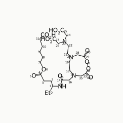 CCC(CCC(=O)OCCCCCC(=O)O)NC(=O)CN1CCN(CCN(CC(=O)O)CC(=O)O)CC(=O)OOC(=O)C1